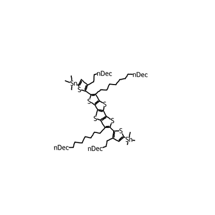 CCCCCCCCCCCCCCCCCc1c(-c2s[c]([Sn]([CH3])([CH3])[CH3])cc2CCCCCCCCCCCC)sc2c1sc1c3sc(-c4s[c]([Sn]([CH3])([CH3])[CH3])cc4CCCCCCCCCCCC)c(CCCCCCCCCCCCCCCCC)c3sc21